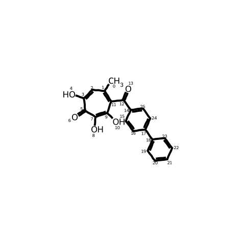 Cc1cc(O)c(=O)c(O)c(O)c1C(=O)c1ccc(-c2ccccc2)cc1